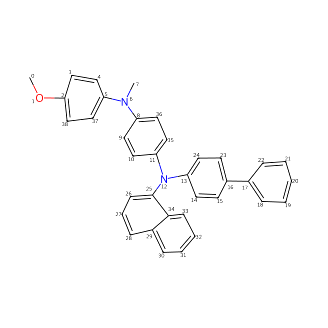 COc1ccc(N(C)c2ccc(N(c3ccc(-c4ccccc4)cc3)c3cccc4ccccc34)cc2)cc1